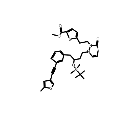 COC(=O)c1ccc(CCN2C(=O)SC=CN2CCC(Cc2cccc(C#Cc3csc(C)c3)c2)O[Si](C)(C)C(C)(C)C)s1